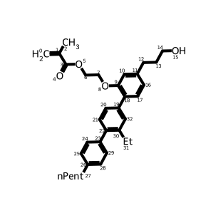 C=C(C)C(=O)OCCOc1cc(CCCO)ccc1-c1ccc(-c2ccc(CCCCC)cc2)c(CC)c1